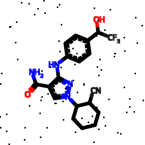 N#CC1CCCCC1n1cc(C(N)=O)c(Nc2ccc(C(O)C(F)(F)F)cc2)n1